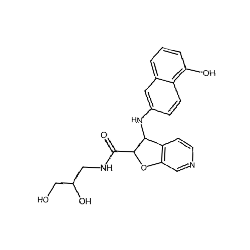 O=C(NCC(O)CO)C1Oc2cnccc2C1Nc1ccc2c(O)cccc2c1